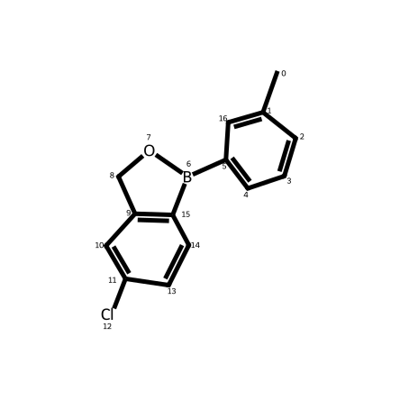 Cc1cccc(B2OCc3cc(Cl)ccc32)c1